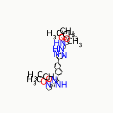 CCC(CNc1ncc(-c2ccc3cc(-c4c[nH]c([C@@H]5CCCN5C(=O)OC(C)(C)C)n4)ccc3c2)cn1)NC(=O)OC(C)(C)C